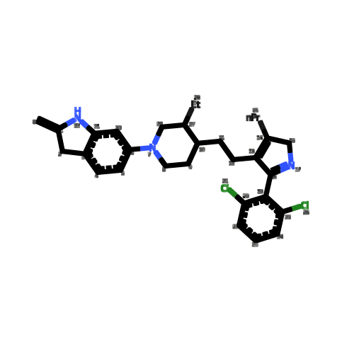 C=C1Cc2ccc(N3CCC(CCC4=C(CCC)CN=C4c4c(Cl)cccc4Cl)C(CC)C3)cc2N1